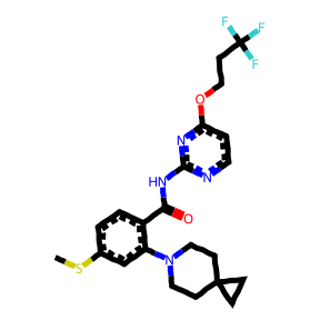 CSc1ccc(C(=O)Nc2nccc(OCCC(F)(F)F)n2)c(N2CCC3(CC2)CC3)c1